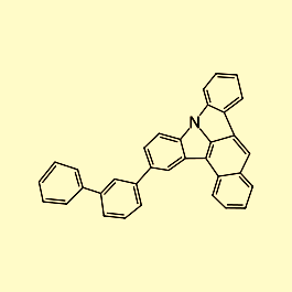 c1ccc(-c2cccc(-c3ccc4c(c3)c3c5ccccc5cc5c6ccccc6n4c53)c2)cc1